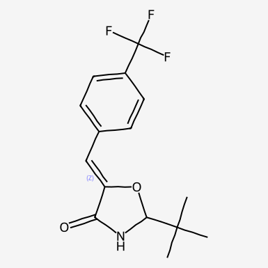 CC(C)(C)C1NC(=O)/C(=C/c2ccc(C(F)(F)F)cc2)O1